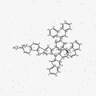 C=C/C=C\c1c(C)ccc2c1oc1cc(-n3c4ccccc4c4cc5ccccc5cc43)c(-c3nc(-c4cccc5ccccc45)nc(-c4cc5ccccc5c5ccccc45)n3)cc12